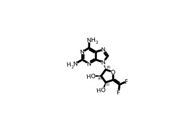 Nc1nc(N)c2ncn([C@@H]3OC(=C(F)F)[C@@H](O)[C@H]3O)c2n1